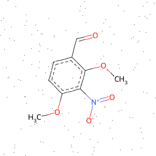 COc1ccc(C=O)c(OC)c1[N+](=O)[O-]